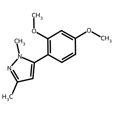 COc1ccc(-c2cc(C)nn2C)c(OC)c1